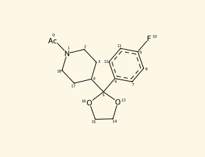 CC(=O)N1CCC(C2(c3ccc(F)cc3)OCCO2)CC1